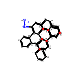 NNc1ccc(-c2ccccc2)c(-c2ccccc2-c2cccc3ccccc23)c1-c1ccccc1-c1cccc2ccccc12